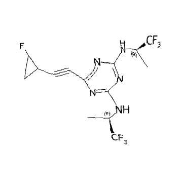 C[C@@H](Nc1nc(C#CC2CC2F)nc(N[C@H](C)C(F)(F)F)n1)C(F)(F)F